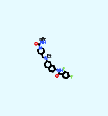 CCCNC(=O)N1CCC(CN(CC)C2CCc3ccc(NC(=O)c4ccc(F)cc4F)cc3C2)CC1